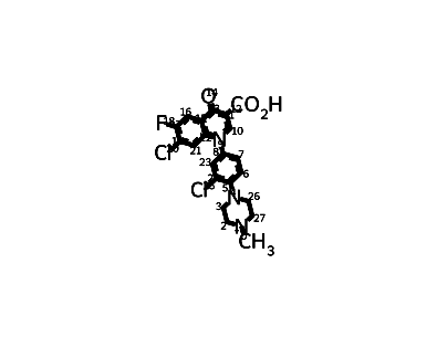 CN1CCN(c2ccc(-n3cc(C(=O)O)c(=O)c4cc(F)c(Cl)cc43)cc2Cl)CC1